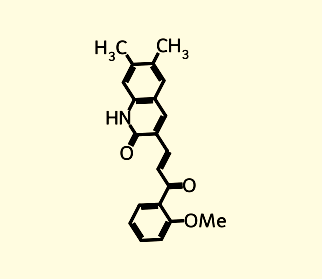 COc1ccccc1C(=O)C=Cc1cc2cc(C)c(C)cc2[nH]c1=O